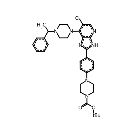 CC(c1ccccc1)N1CCN(c2c(Cl)cnc3[nH]c(-c4ccc(N5CCN(C(=O)OC(C)(C)C)CC5)cc4)nc23)CC1